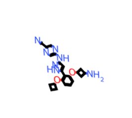 N#Cc1cnc(Nc2cc(-c3c(OC4CCC4)cccc3OC3CC(N)C3)[nH]n2)cn1